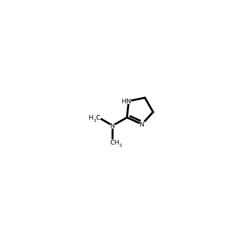 CN(C)C1=N[CH]CN1